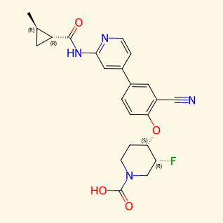 C[C@@H]1C[C@H]1C(=O)Nc1cc(-c2ccc(O[C@H]3CCN(C(=O)O)C[C@H]3F)c(C#N)c2)ccn1